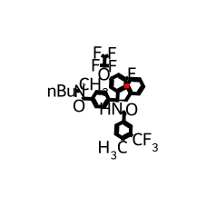 CCCCN(C)C(=O)c1ccc([C@@](Cc2ccccc2)(NC(=O)c2ccc(C)c(C(F)(F)F)c2)c2cc(F)cc(OC(F)(F)C(F)F)c2)cc1